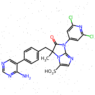 CC1(Cc2ccc(-c3cncnc3N)cc2)C(=O)N(c2cc(Cl)nc(Cl)c2)c2ncc(S(=O)(=O)O)n21